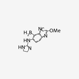 Bc1c(NC2=NCCN2)ccc2nc(OC)cnc12